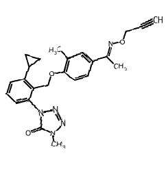 C#CCON=C(C)c1ccc(OCc2c(C3CC3)cccc2-n2nnn(C)c2=O)c(C)c1